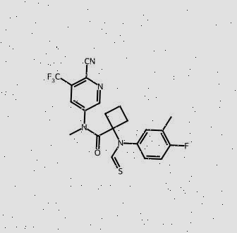 Cc1cc(N(C=S)C2(C(=O)N(C)c3cnc(C#N)c(C(F)(F)F)c3)CCC2)ccc1F